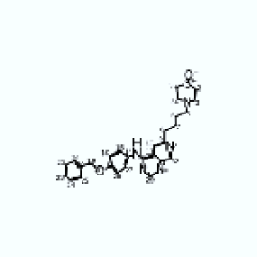 [O-][S+]1CCN(CCCCc2cc3c(Nc4ccc(OCc5ccccc5)cc4)ncnc3cn2)CC1